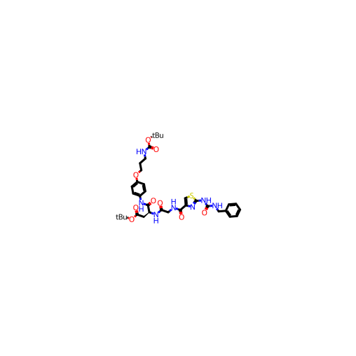 CC(C)(C)OC(=O)C[C@H](NC(=O)CNC(=O)c1csc(NC(=O)NCc2ccccc2)n1)C(=O)Nc1ccc(OCCCNC(=O)OC(C)(C)C)cc1